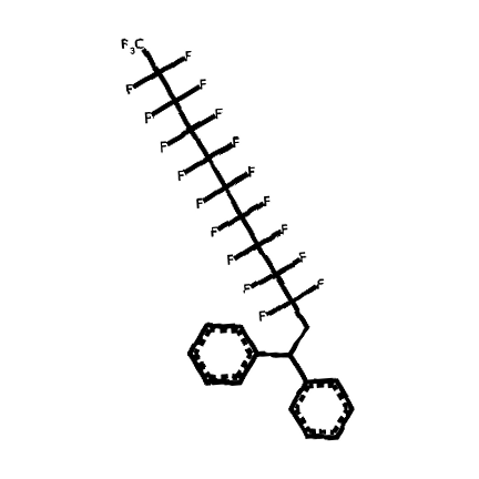 FC(F)(F)C(F)(F)C(F)(F)C(F)(F)C(F)(F)C(F)(F)C(F)(F)C(F)(F)C(F)(F)C(F)(F)CC(c1ccccc1)c1ccccc1